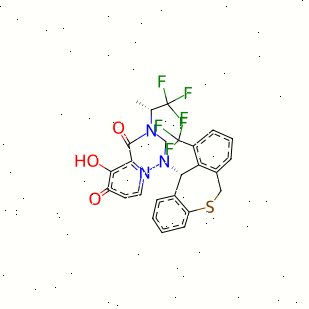 C[C@@H](N1CN([C@H]2c3ccccc3SCc3cccc(C(F)(F)F)c32)n2ccc(=O)c(O)c2C1=O)C(F)(F)F